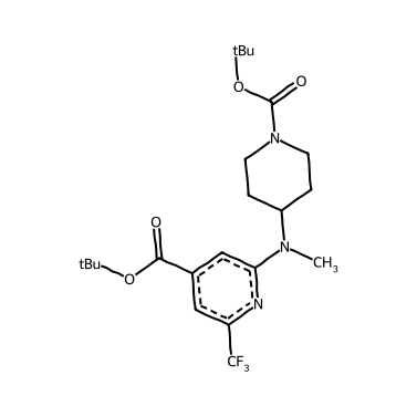 CN(c1cc(C(=O)OC(C)(C)C)cc(C(F)(F)F)n1)C1CCN(C(=O)OC(C)(C)C)CC1